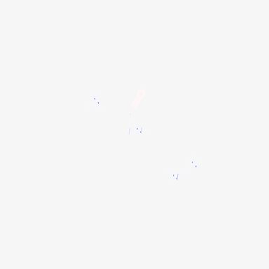 CCn1cc(CNC(=O)c2ccc(-c3ccccc3)[nH]2)cn1